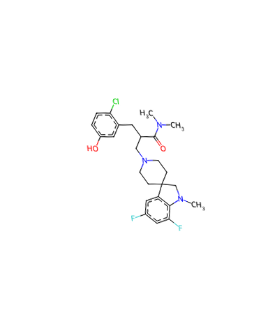 CN(C)C(=O)C(Cc1cc(O)ccc1Cl)CN1CCC2(CC1)CN(C)c1c(F)cc(F)cc12